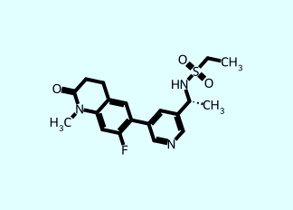 CCS(=O)(=O)N[C@H](C)c1cncc(-c2cc3c(cc2F)N(C)C(=O)CC3)c1